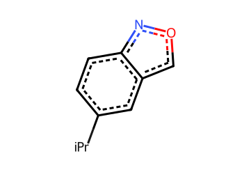 CC(C)c1ccc2nocc2c1